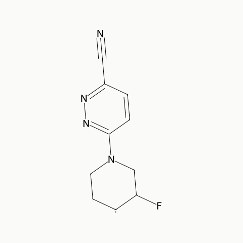 N#Cc1ccc(N2CC[CH]C(F)C2)nn1